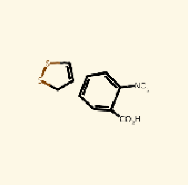 C1=CSSC1.O=C(O)c1ccccc1[N+](=O)[O-]